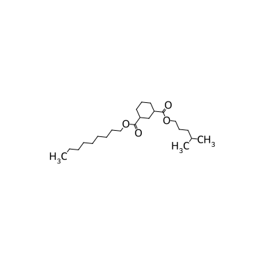 CCCCCCCCCOC(=O)C1CCCC(C(=O)OCCCC(C)C)C1